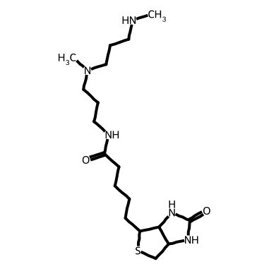 CNCCCN(C)CCCNC(=O)CCCCC1SCC2NC(=O)NC21